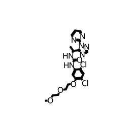 COCCOCCOc1cc(NC(=O)NC(C)c2ncnn2-c2ncccn2)c(Cl)cc1Cl